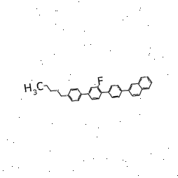 CCCCCc1ccc(-c2ccc(-c3ccc(-c4ccc5ccccc5c4)cc3)c(F)c2)cc1